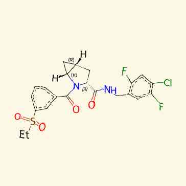 CCS(=O)(=O)c1cccc(C(=O)N2[C@@H](C(=O)NCc3cc(F)c(Cl)cc3F)C[C@H]3C[C@H]32)c1